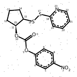 O=C(Oc1ccc([N+](=O)[O-])cc1)O[C@H]1CCCC1SSc1ccccn1